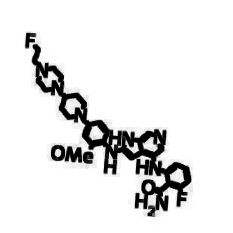 COc1cc(N2CCC(N3CCN(CCF)CC3)CC2)ccc1Nc1cc2c(Nc3cccc(F)c3C(N)=O)cncc2[nH]1